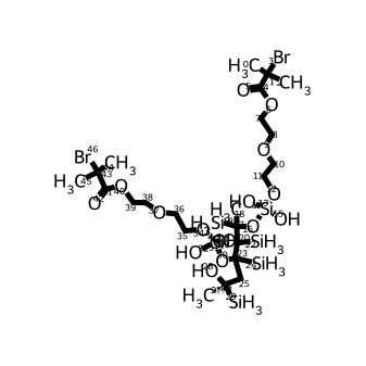 CC(C)(Br)C(=O)OCCOCCO[Si](O)(O)OC(C)([SiH3])C(O)([SiH3])C([SiH3])(C[C@](C)(O)[SiH3])O[Si](O)(O)OCCOCCOC(=O)C(C)(C)Br